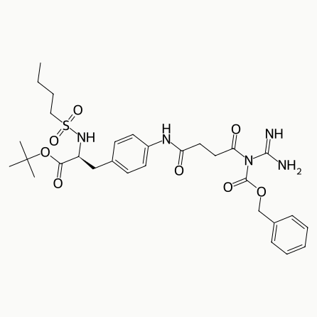 CCCCS(=O)(=O)N[C@@H](Cc1ccc(NC(=O)CCC(=O)N(C(=N)N)C(=O)OCc2ccccc2)cc1)C(=O)OC(C)(C)C